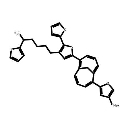 CCCCCCc1csc(C2=CC=CC3=C(c4cc(CCCCC(C)c5cccs5)c(-c5cccs5)s4)C=CC=C2C3)c1